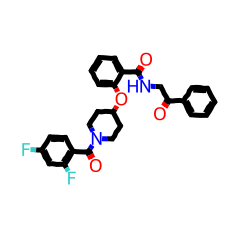 O=C(CNC(=O)c1ccccc1OC1CCN(C(=O)c2ccc(F)cc2F)CC1)c1ccccc1